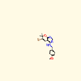 COc1ccc(CNc2ncnc3c2C=C(Br)C(C)(C)O3)cc1